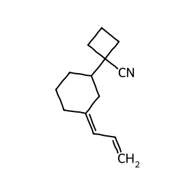 C=C/C=C1/CCCC(C2(C#N)CCC2)C1